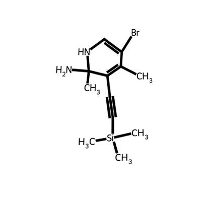 CC1=C(C#C[Si](C)(C)C)C(C)(N)NC=C1Br